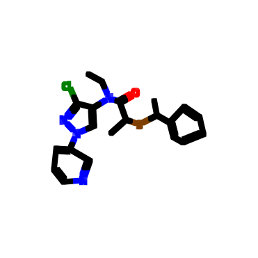 CCN(C(=O)C(C)SC(C)c1ccccc1)c1cn(-c2cccnc2)nc1Cl